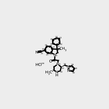 C[C@@H]1CN(CC(=O)N2CC(C)(c3ccccc3)c3ccc(C#N)cc32)[C@@H](Cn2cccn2)CN1.Cl